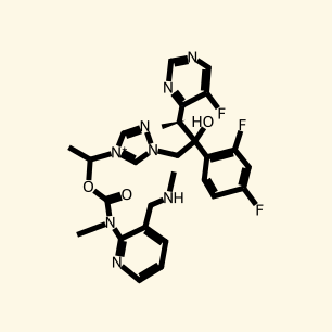 CNCc1cccnc1N(C)C(=O)OC(C)[n+]1cnn(CC(O)(c2ccc(F)cc2F)[C@@H](C)c2ncncc2F)c1